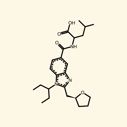 CCC(CC)n1c(C[C@@H]2CCCO2)nc2cc(C(=O)NC(CC(C)C)C(=O)O)ccc21